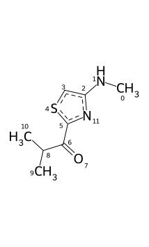 CNc1csc(C(=O)C(C)C)n1